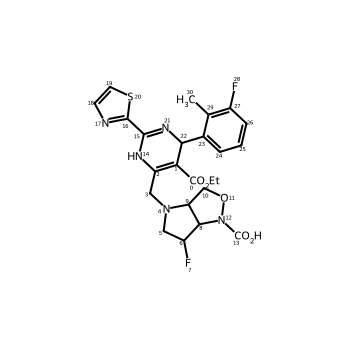 CCOC(=O)C1=C(CN2CC(F)C3C2CON3C(=O)O)NC(c2nccs2)=NC1c1cccc(F)c1C